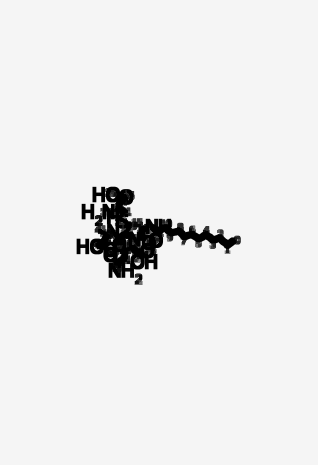 CCCCCCCCCCCC(=O)N[C@@H](C)C(=O)N([C@H](CCC(N)=O)C(=O)O)[C@H](CSC[C@H](N)C(=O)O)C(=O)N[C@H](C)C(=O)O